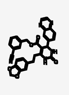 N#Cc1cccc(COC(=O)C2=C(CCc3ccc4c(c3)OCO4)NC(=O)NC2c2ccc3nccnc3c2)c1